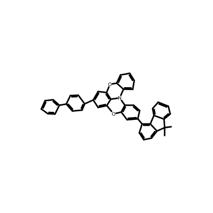 CC1(C)c2ccccc2-c2c(-c3ccc4c(c3)Oc3cc(-c5ccc(-c6ccccc6)cc5)cc5c3N4c3ccccc3O5)cccc21